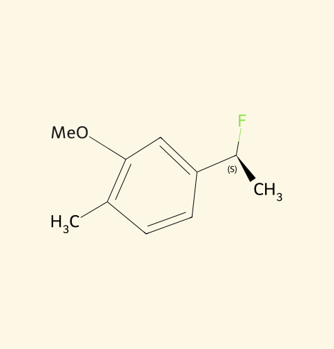 COc1cc([C@H](C)F)ccc1C